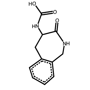 O=C(O)NC1Cc2ccccc2CNC1=O